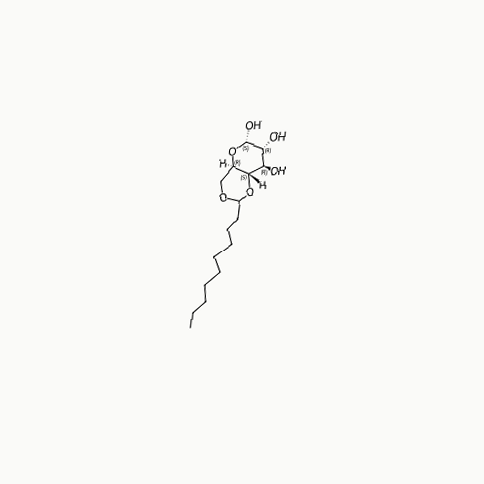 CCCCCCCCCC1OC[C@H]2O[C@H](O)[C@H](O)[C@@H](O)[C@@H]2O1